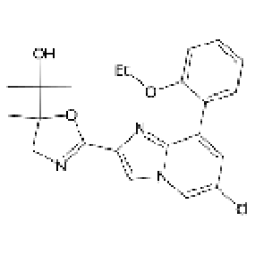 CCOc1ccccc1-c1cc(Cl)cn2cc(C3=NCC(C)(C(C)(C)O)O3)nc12